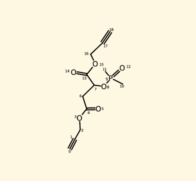 C#CCOC(=O)CC(OP(C)(C)=O)C(=O)OCC#C